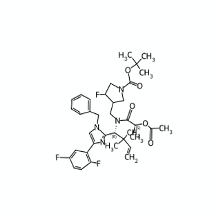 C=CC(C)(C)[C@H](c1nc(-c2cc(F)ccc2F)cn1Cc1ccccc1)N(CC1CN(C(=O)OC(C)(C)C)CC1F)C(=O)[C@H](C)OC(C)=O